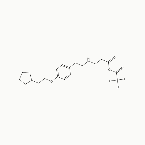 O=C(CCNCCc1ccc(OCCC2CCCC2)cc1)OC(=O)C(F)(F)F